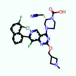 CN1CC(COc2nc(N3CCN(C(=O)O)[C@@H](CC#N)C3)c3cnc(-c4cccc5ccc(F)c(Cl)c45)c(F)c3n2)C1